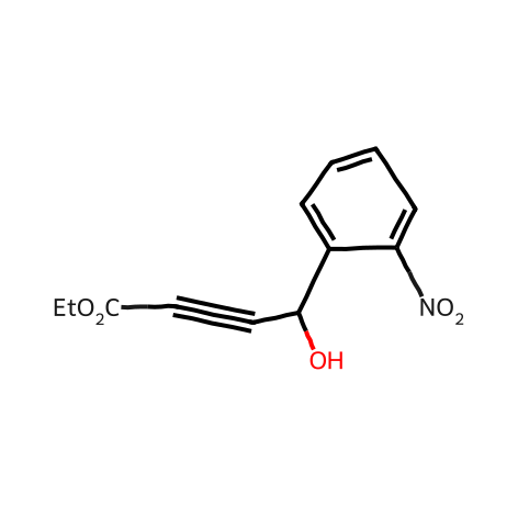 CCOC(=O)C#CC(O)c1ccccc1[N+](=O)[O-]